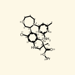 Cc1cc(N2CCCOC[C@@H]2c2cc3c(cc2Cl)NC[C@@](C)(C(=O)OC(C)C)O3)nc(N)n1